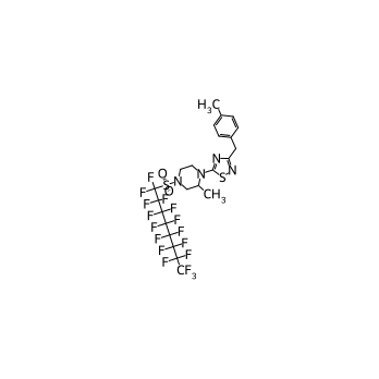 Cc1ccc(Cc2nsc(N3CCN(S(=O)(=O)C(F)(F)C(F)(F)C(F)(F)C(F)(F)C(F)(F)C(F)(F)C(F)(F)C(F)(F)F)CC3C)n2)cc1